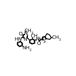 Cc1c(NC(=O)c2cc3c(s2)CC(C)CC3)cccc1-c1cn(C)c(=O)c(Nc2cccc(N)c2)n1